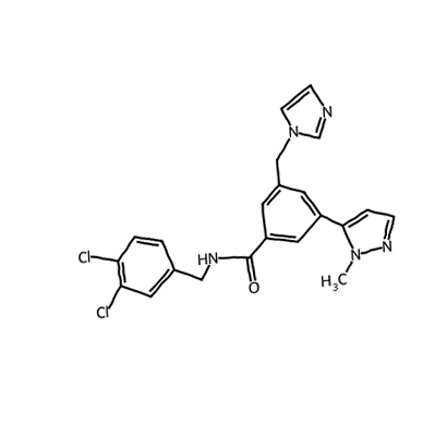 Cn1nccc1-c1cc(Cn2ccnc2)cc(C(=O)NCc2ccc(Cl)c(Cl)c2)c1